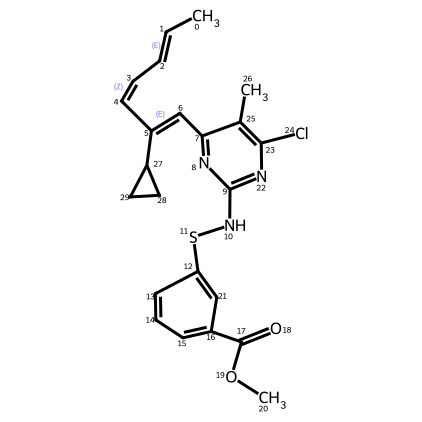 C/C=C/C=C\C(=C\c1nc(NSc2cccc(C(=O)OC)c2)nc(Cl)c1C)C1CC1